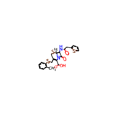 Cc1ccccc1SCC1=C(C(=O)O)N2C(=O)C(NC(=O)Cc3cccs3)[C@H]2SC1